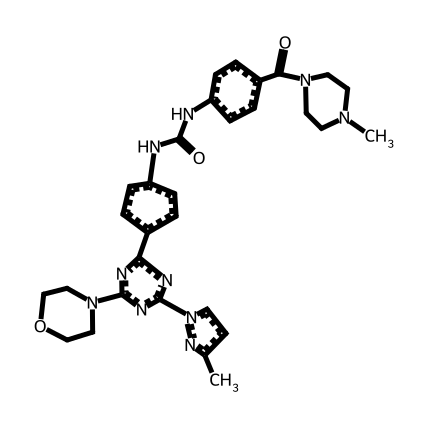 Cc1ccn(-c2nc(-c3ccc(NC(=O)Nc4ccc(C(=O)N5CCN(C)CC5)cc4)cc3)nc(N3CCOCC3)n2)n1